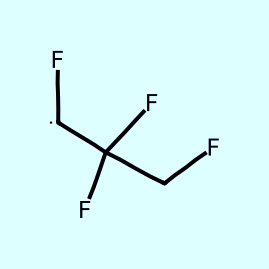 F[CH]C(F)(F)CF